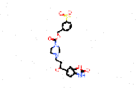 O=C(CCN1CCN(C(=O)OCc2cccc([SH](=O)=O)c2)CC1)c1ccc2[nH]c(=O)oc2c1